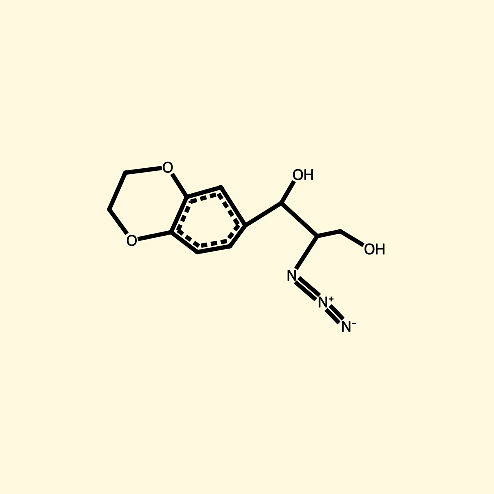 [N-]=[N+]=NC(CO)C(O)c1ccc2c(c1)OCCO2